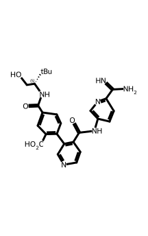 CC(C)(C)[C@@H](CO)NC(=O)c1ccc(-c2cnccc2C(=O)Nc2ccc(C(=N)N)nc2)c(C(=O)O)c1